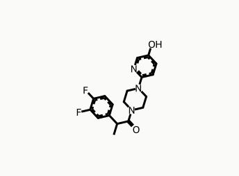 CC(C(=O)N1CCN(c2ccc(O)cn2)CC1)c1ccc(F)c(F)c1